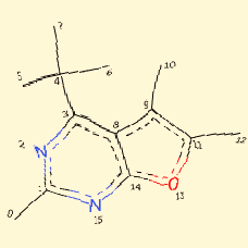 Cc1nc(C(C)(C)C)c2c(C)c(C)oc2n1